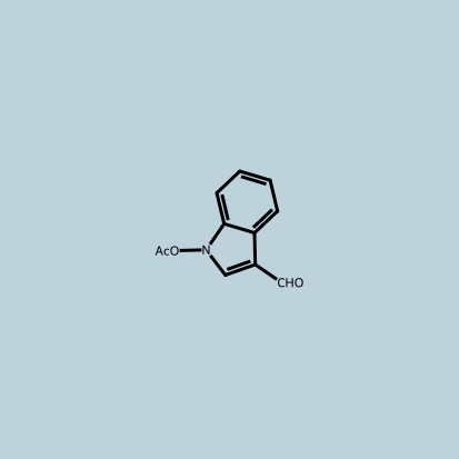 CC(=O)On1cc(C=O)c2ccccc21